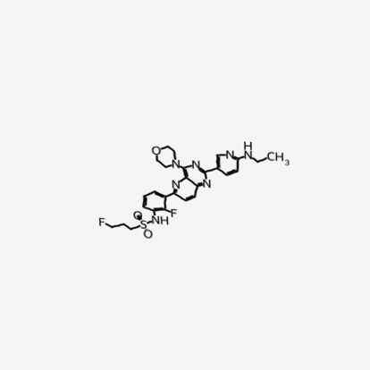 CCNc1ccc(-c2nc(N3CCOCC3)c3nc(-c4cccc(NS(=O)(=O)CCCF)c4F)ccc3n2)cn1